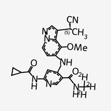 [2H]C([2H])([2H])NC(=O)c1cnc(NC(=O)C2CC2)cc1Nc1ccn2ncc([C@H](C)C#N)c2c1OC